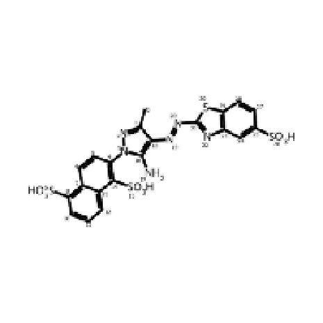 Cc1nn(-c2ccc3c(S(=O)(=O)O)cccc3c2S(=O)(=O)O)c(N)c1/N=N/c1nc2cc(S(=O)(=O)O)ccc2s1